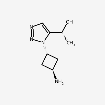 C[C@@H](O)c1cnnn1[C@H]1C[C@H](N)C1